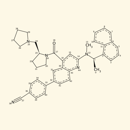 C[C@H](c1cccc2ccccc12)N(C)c1cc(C(=O)N2CCC[C@H]2CN2CCCC2)c2cc(-c3ccc(C#N)cc3)ccc2n1